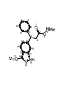 CNOC(=O)C[C@H](c1ccccc1)c1ccc2c(OC)n[nH]c2c1